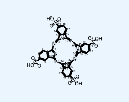 O=S(=O)(O)c1ccc2c(c1)-c1nc-2nc2[nH]c(nc3nc(nc4[nH]c(n1)c1ccc(S(=O)(=O)O)cc41)-c1ccc(S(=O)(=O)O)cc1-3)c1ccc(S(=O)(=O)O)cc21